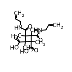 C=CCNC(=O)C1(C)C(C)(C(=O)O)C(C)(C(=O)O)C1(C)C(=O)NCC=C